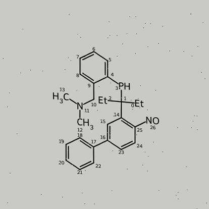 CCC(CC)(Pc1ccccc1CN(C)C)c1cc(-c2ccccc2)ccc1N=O